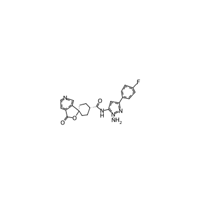 Nn1nc(-c2ccc(F)cc2)cc1NC(=O)[C@H]1CC[C@]2(CC1)OC(=O)c1ccncc12